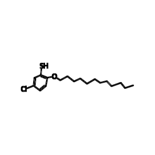 CCCCCCCCCCCCOc1ccc(Cl)cc1S